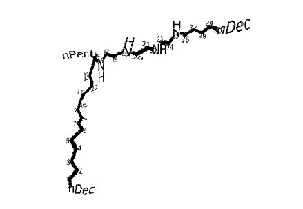 CCCCCCCCCCCCCCCCCCCCCCCC(CCCCC)NCCNCCNCCNCCCCCCCCCCCCCC